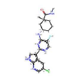 CNC(=O)[C@]1(C)CCC[C@H](Nc2nc(-c3c[nH]c4ncc(Cl)cc34)ncc2F)C1